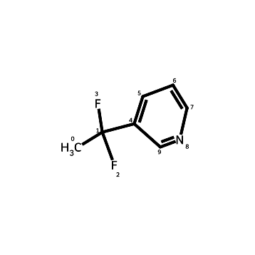 CC(F)(F)c1cccnc1